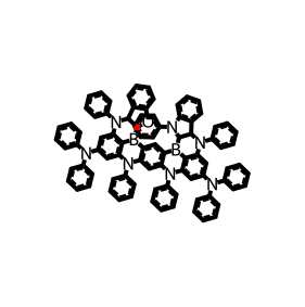 c1ccc(N(c2ccccc2)c2cc3c4c(c2)N(c2ccccc2)C2c5ccccc5OC2B4c2cc4c(cc2N3c2ccccc2)N(c2ccccc2)c2cc(N(c3ccccc3)c3ccccc3)cc3c2B4C2C(c4ccccc4N2c2ccccc2)N3c2ccccc2)cc1